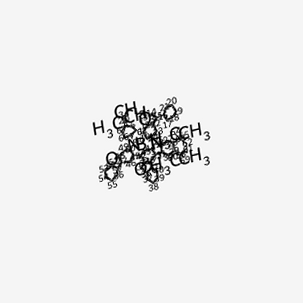 CC(C)(C)c1ccc(N2B3c4cc5occ(-c6ccccc6)c5cc4-n4c5cc6c(cc5c5c7c(oc8ccccc87)c(c3c54)-c3cc4c(cc32)oc2ccccc24)C(C)(C)CCC6(C)C)cc1